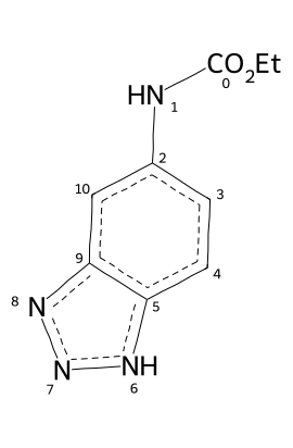 CCOC(=O)Nc1ccc2[nH]nnc2c1